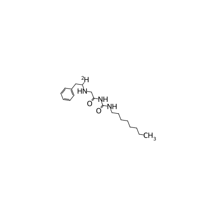 [2H]C(Cc1ccccc1)NCC(=O)NC(=O)NCCCCCCCC